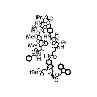 CC[C@H](C)[C@@H]([C@@H](CC(=O)N1CCC[C@H]1[C@H](OC)[C@@H](C)C(=O)N[C@H](C)[C@@H](O)c1ccccc1)OC)N(C)C(=O)[C@@H](NC(=O)[C@H](C(C)C)N(C)C(=O)OCc1ccc(NC(=O)[C@H](C)NC(=O)[C@@H](NC(=O)CCC(=O)Nc2ccc3c(c2)cc(CN(C)N(C)C(=O)OCC2c4ccccc4-c4ccccc42)n3CCC(=O)OC(C)(C)C)C(C)C)cc1)C(C)C